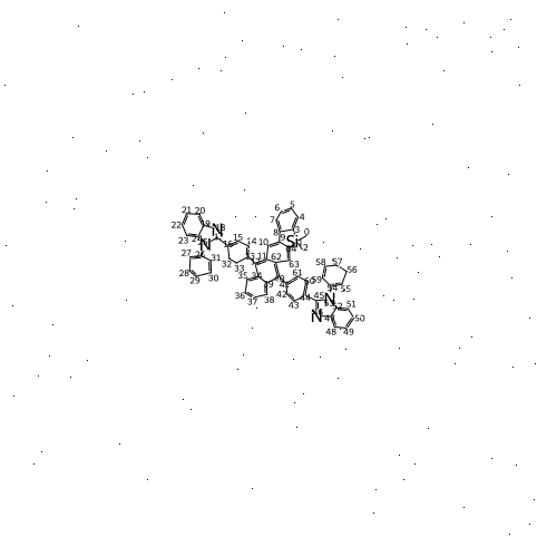 C[Si]1(C)c2ccccc2-c2cc3c(C4=CC=C(c5nc6ccccc6n5-c5ccccc5)CC4)c4ccccc4c(-c4ccc(-c5nc6ccccc6n5C5=CCCC=C5)cc4)c3cc21